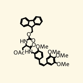 COc1ccc(/C=C\c2cc(OC)c(OC)c(OC)c2)cc1NC(=O)C(COC(C)=O)NC(=O)OCC1c2ccccc2-c2ccccc21